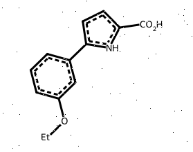 CCOc1cccc(-c2ccc(C(=O)O)[nH]2)c1